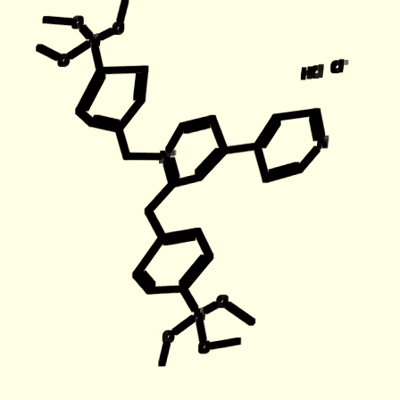 CO[Si](OC)(OC)c1ccc(Cc2cc(-c3ccncc3)cc[n+]2Cc2ccc([Si](OC)(OC)OC)cc2)cc1.Cl.[Cl-]